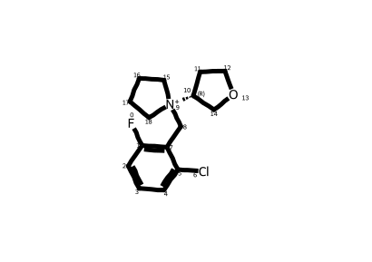 Fc1cccc(Cl)c1C[N+]1([C@@H]2CCOC2)CCCC1